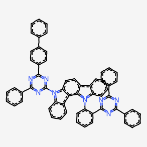 c1ccc(-c2ccc(-c3nc(-c4ccccc4)nc(-n4c5ccccc5c5c4ccc4c6ccccc6n(-c6ccccc6-c6nc(-c7ccccc7)nc(-c7ccccc7)n6)c45)n3)cc2)cc1